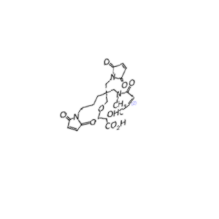 CN(CC(CCCN1C(=O)C=CC1=O)(COCCC(=O)O)CN1C(=O)C=CC1=O)C(=O)/C=C\C=O